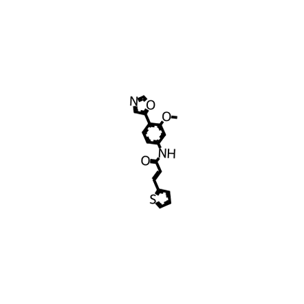 COc1cc(NC(=O)C=Cc2cccs2)ccc1-c1cnco1